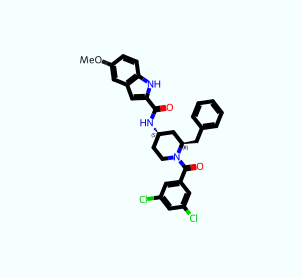 COc1ccc2[nH]c(C(=O)N[C@H]3CCN(C(=O)c4cc(Cl)cc(Cl)c4)[C@H](Cc4ccccc4)C3)cc2c1